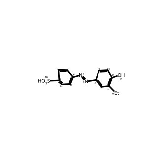 CCc1cc(N=Nc2ccc(S(=O)(=O)O)cc2)ccc1O